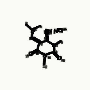 CN(C)/C=C1\C(=N)N(C)C(=O)N(C)C1=O.Cl